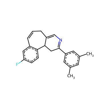 Cc1cc(C)cc(C2=NC=C3CC=Cc4cc(F)ccc4C3C2)c1